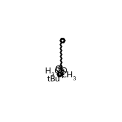 Cc1cc(C(C)(C)C)cc(C)c1C(=O)[PH](=O)CCCCCCCCCCCCc1ccccc1